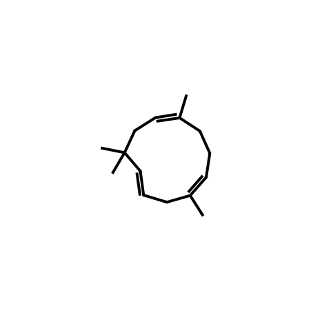 C/C1=C/CC/C(C)=C\CC(C)(C)/C=C/C1